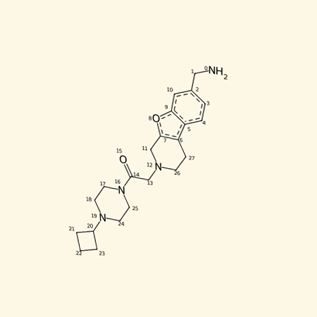 NCc1ccc2c3c(oc2c1)CN(CC(=O)N1CCN(C2CCC2)CC1)CC3